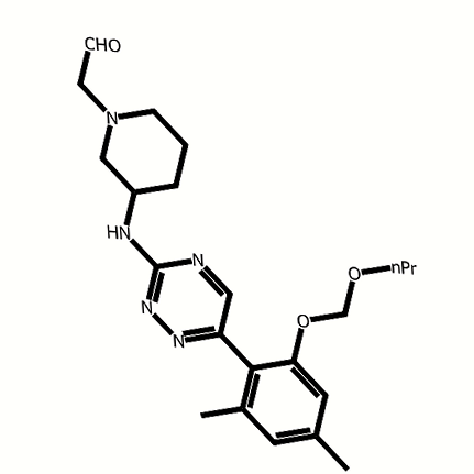 CCCOCOc1cc(C)cc(C)c1-c1cnc(NC2CCCN(CC=O)C2)nn1